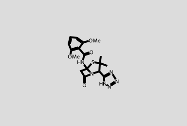 COc1cccc(OC)c1C(=O)NC12CC(=O)N1C(c1nnn[nH]1)C(C)(C)S2